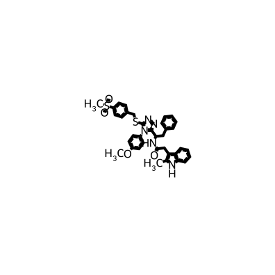 COc1ccc(-n2c(SCc3ccc(S(C)(=O)=O)cc3)nnc2C(Cc2ccccc2)NC(=O)Cc2c(C)[nH]c3ccccc23)cc1